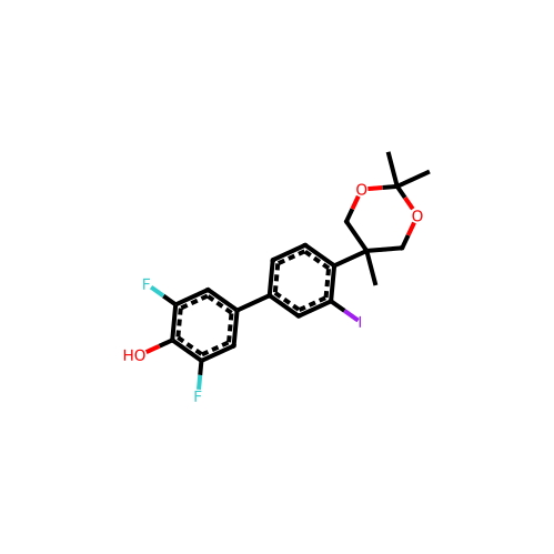 CC1(C)OCC(C)(c2ccc(-c3cc(F)c(O)c(F)c3)cc2I)CO1